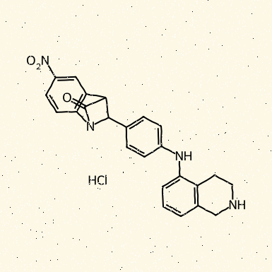 Cl.O=C1C2c3cc([N+](=O)[O-])ccc3N1C2c1ccc(Nc2cccc3c2CCNC3)cc1